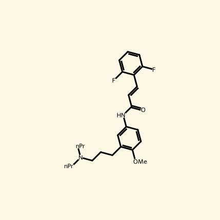 CCCN(CCC)CCCc1cc(NC(=O)C=Cc2c(F)cccc2F)ccc1OC